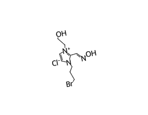 OCC[n+]1ccn(CCCBr)c1C=NO.[Cl-]